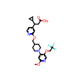 COc1cc(N2CCC(COc3cc(C(CC(=O)O)C4CC4)ccn3)CC2)c(OCC(F)(F)F)cn1